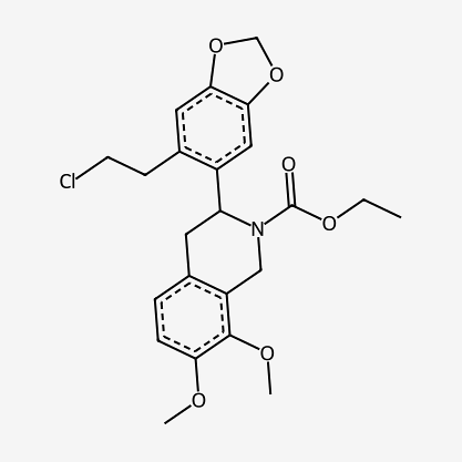 CCOC(=O)N1Cc2c(ccc(OC)c2OC)CC1c1cc2c(cc1CCCl)OCO2